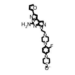 Nc1nc2c(cnn2CCN2CCN(c3ccc(N4CC[S+]([O-])CC4)cc3F)CC2)c2cc(-c3ccco3)nn12